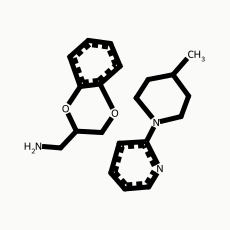 CC1CCN(c2ccccn2)CC1.NCC1COc2ccccc2O1